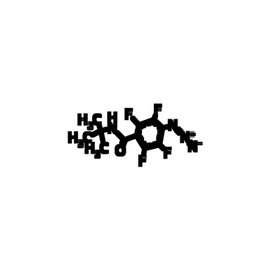 CC(C)(C)NC(=O)c1c(F)c(F)c(N=[N+]=[N-])c(F)c1F